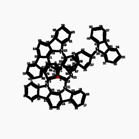 c1ccc(-n2c3ccccc3c3ccc4c5ccccc5n(-c5nc(-c6ccc(-n7c8ccccc8c8ccccc87)cc6)nc(-n6c7ccccc7c7ccc8c9ccccc9n(-c9ccccc9)c8c76)n5)c4c32)cc1